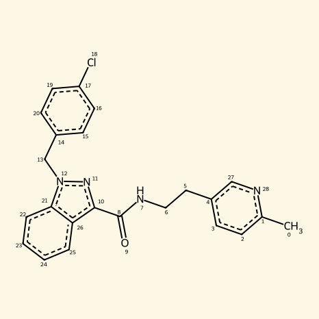 Cc1ccc(CCNC(=O)c2nn(Cc3ccc(Cl)cc3)c3ccccc23)cn1